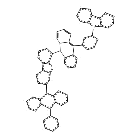 C1=CC2=C(c3cccc(-n4c5ccccc5c5ccccc54)c3)c3ccccc3C(c3cccc4c3oc3cc(-c5c6ccccc6c(-c6ccccc6)c6ccccc56)ccc34)C2C=C1